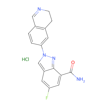 Cl.NC(=O)c1cc(F)cc2cn(-c3ccc4c(c3)CCN=C4)nc12